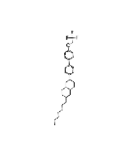 CCCCCCCC1CCC2CC(c3ccc(-c4ccc(OCC(F)(F)F)cc4)cc3)CCC2C1